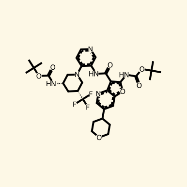 CC(C)(C)OC(=O)Nc1oc2cc(C3CCOCC3)cnc2c1C(=O)Nc1cnccc1N1C[C@@H](NC(=O)OC(C)(C)C)C[C@@H](C(F)(F)F)C1